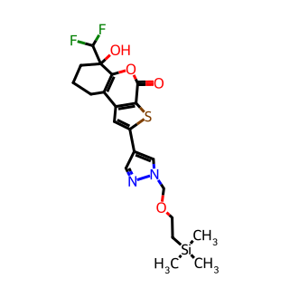 C[Si](C)(C)CCOCn1cc(-c2cc3c4c(oc(=O)c3s2)C(O)(C(F)F)CCC4)cn1